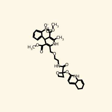 COC(=O)C1=C(C)NC(COCCNC(=O)C2(OC3=CC=C4CCC=CC4N3)CCO2)=C(C(=O)OC)C1c1ccccc1[N+](=O)[O-]